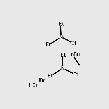 Br.Br.CCCCC.CCN(CC)CC.CCN(CC)CC